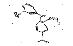 CC(=O)c1ccc(Nc2ccnc(Br)c2)c(N)c1